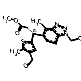 CCn1nnc2c(C)c([C@@H](CC(=O)OC)c3cc(CCl)c(C)s3)ccc21